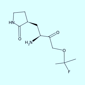 CC(C)(F)OCC(=O)[C@@H](N)C[C@@H]1CCNC1=O